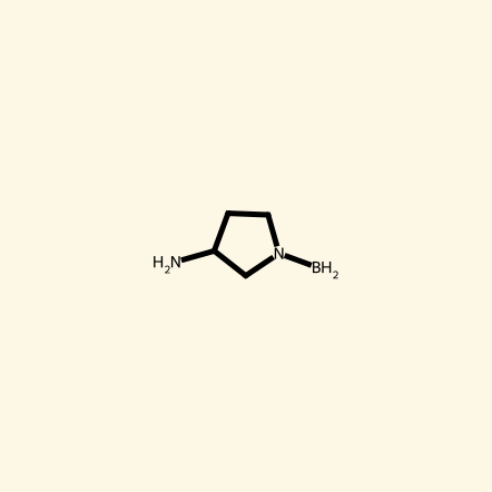 BN1CCC(N)C1